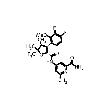 COc1c([C@@H]2[C@H](C(=O)Nc3cc(C)nc(C(N)=O)c3)O[C@](C)(C(F)(F)F)[C@H]2C)ccc(F)c1F